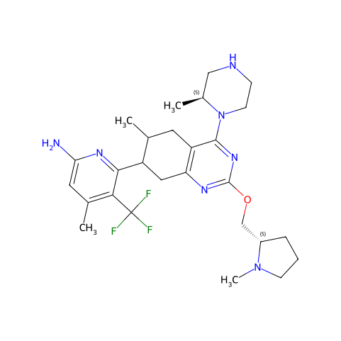 Cc1cc(N)nc(C2Cc3nc(OC[C@@H]4CCCN4C)nc(N4CCNC[C@@H]4C)c3CC2C)c1C(F)(F)F